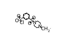 [CH2]N1CCN(S(=O)(=O)c2cccc(S(=O)(=O)Cl)c2)CC1